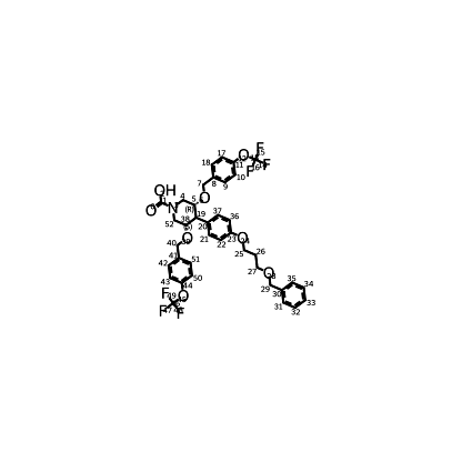 O=C(O)N1C[C@H](OCc2ccc(OC(F)(F)F)cc2)C(c2ccc(OCCCOCc3ccccc3)cc2)[C@H](OCc2ccc(OC(F)(F)F)cc2)C1